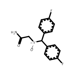 NC(=O)C[S@@+]([O-])C(c1ccc(F)cc1)c1ccc(F)cc1